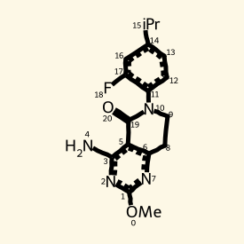 COc1nc(N)c2c(n1)CCN(c1ccc(C(C)C)cc1F)C2=O